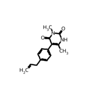 C=CCc1ccc(-c2c(C)[nH]c(=O)n(C)c2=O)cc1